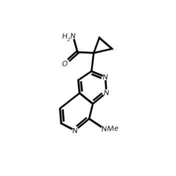 CNc1nccc2cc(C3(C(N)=O)CC3)nnc12